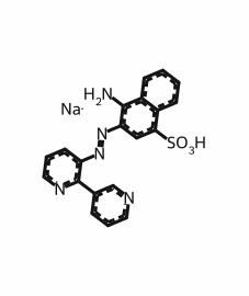 Nc1c(N=Nc2cccnc2-c2cccnc2)cc(S(=O)(=O)O)c2ccccc12.[Na]